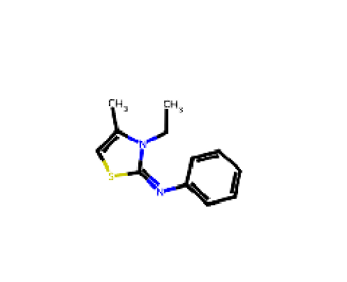 CCn1c(C)csc1=Nc1ccccc1